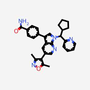 Cc1noc(C)c1-c1cnc2c(c1)c(-c1ccc(C(N)=O)cc1)cn2C(c1ccccn1)C1CCCC1